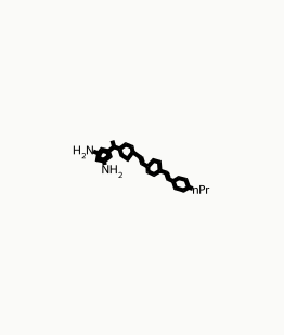 CCCC1CCC(/C=C/C2CCC(/C=C/C3CCC(C(C)c4cc(N)cc(N)c4)CC3)CC2)CC1